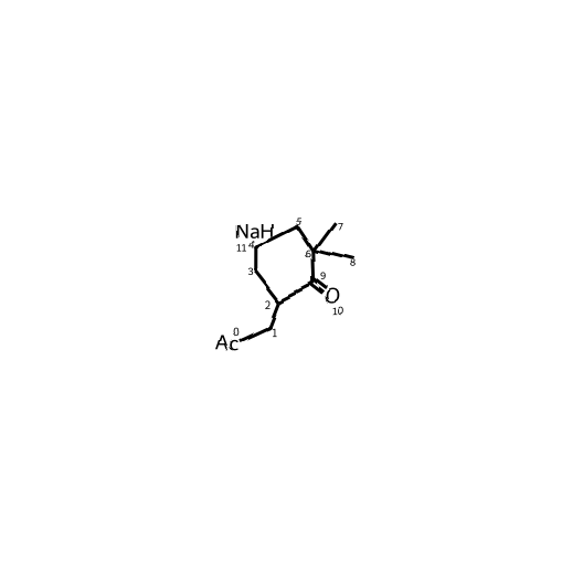 CC(=O)CC1CCCC(C)(C)C1=O.[NaH]